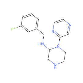 Fc1cccc(CNC2CNCCN2c2cnccn2)c1